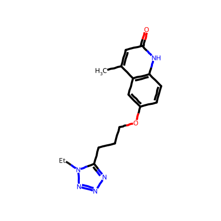 CCn1nnnc1CCCOc1ccc2[nH]c(=O)cc(C)c2c1